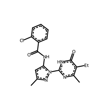 CCc1c(C)nc(-n2nc(C)cc2NC(=O)c2ccccc2Cl)[nH]c1=O